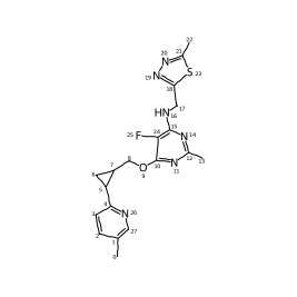 Cc1ccc(C2CC2COc2nc(C)nc(NCc3nnc(C)s3)c2F)nc1